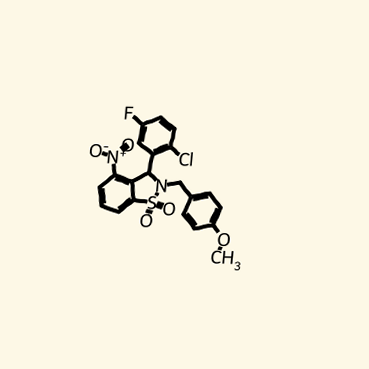 COc1ccc(CN2C(c3cc(F)ccc3Cl)c3c([N+](=O)[O-])cccc3S2(=O)=O)cc1